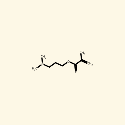 C=C(C)C(=O)OCCCN(C)C